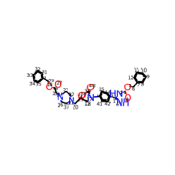 N=C(NC(=O)OCc1ccccc1)c1ccc(N2CC(CN3CCN(CC(=O)OCc4ccccc4)CC3)OC2=O)cc1